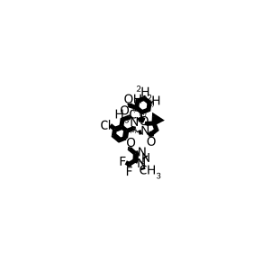 [2H][C@@H]1C[C@@H](C(=O)N2CCc3c(Cl)ccc(OCc4nnn(C)c4C(F)F)c3[C@H]2CN2CC3(CC3)CC2=O)[C@@](C)(C(=O)O)C[C@@H]1[2H]